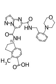 Cc1c(C(=O)O)ccc2c1CC[C@@H]2NC(=O)c1cc(C(=O)NCc2ccccc2N2CCOCC2)nc2ccnn12